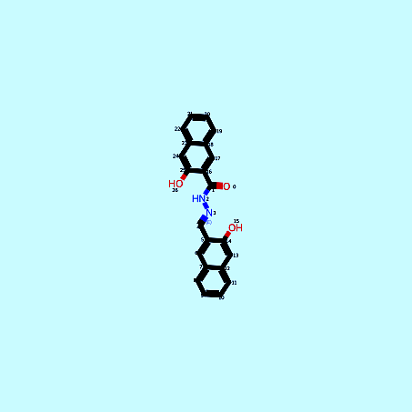 O=C(N/N=C/c1cc2ccccc2cc1O)c1cc2ccccc2cc1O